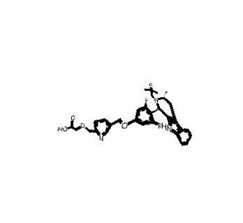 C[C@@H]1Cc2c([nH]c3ccccc23)[C@@H](c2c(F)cc(OCc3ccc(COCC(=O)O)nc3)cc2F)N1CC(C)(C)F